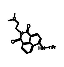 CCCNc1ccc2c3c(cccc13)C(=O)N(CCN(C)C)C2=O